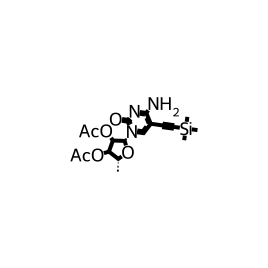 CC(=O)OC1C(OC(C)=O)[C@@H](C)O[C@H]1n1cc(C#C[Si](C)(C)C)c(N)nc1=O